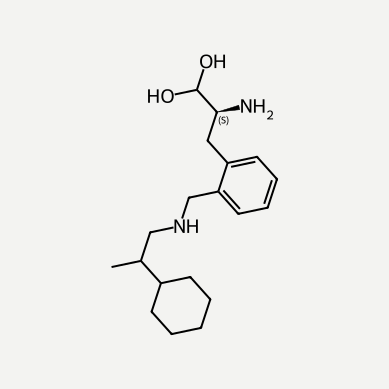 CC(CNCc1ccccc1C[C@H](N)C(O)O)C1CCCCC1